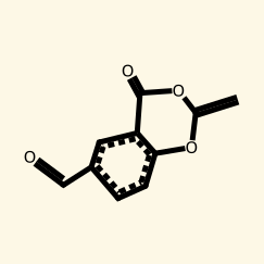 C=C1OC(=O)c2cc(C=O)ccc2O1